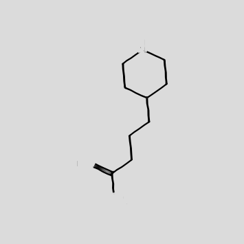 C=C(CCCC1CCNCC1)C(=O)O